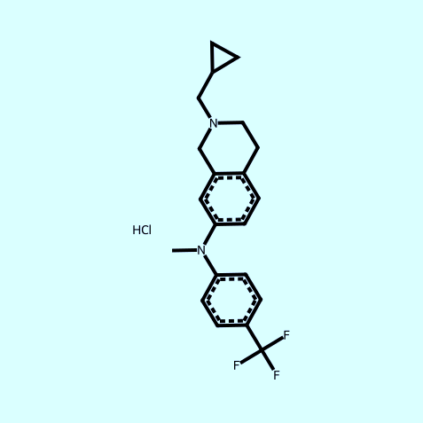 CN(c1ccc(C(F)(F)F)cc1)c1ccc2c(c1)CN(CC1CC1)CC2.Cl